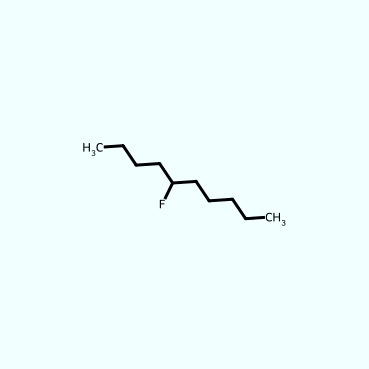 CCCCCC(F)CCCC